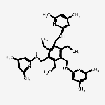 CCc1c(CNc2cc(C)cc(C)n2)c(CC)c(CNc2cc(C)cc(C)n2)c(CC)c1CNc1cc(C)cc(C)n1